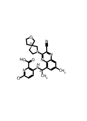 Cc1cc([C@@H](C)Nc2ccc(Cl)nc2C(=O)O)c2nc(N3CC[C@]4(CCOC4)C3)c(C#N)nc2c1